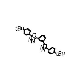 CC(C)(C)c1ccc(C2=NN=C(c3cccc(-c4nnc(-c5ccc(C(C)(C)C)cc5)o4)c3)C2)cc1